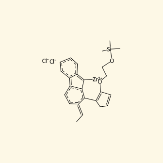 CC=c1ccc2c(c1C1=C(OCCO[Si](C)(C)C)C=CC1)[C]([Zr+2])=c1ccccc1=2.[Cl-].[Cl-]